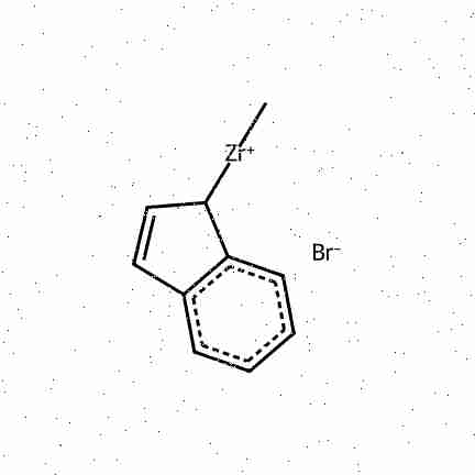 [Br-].[CH3][Zr+][CH]1C=Cc2ccccc21